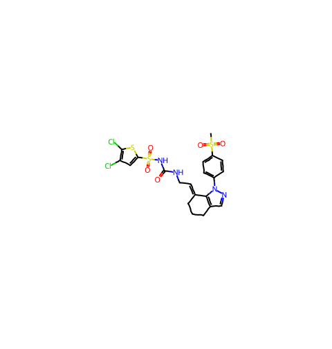 CS(=O)(=O)c1ccc(-n2ncc3c2/C(=C/CNC(=O)NS(=O)(=O)c2cc(Cl)c(Cl)s2)CCC3)cc1